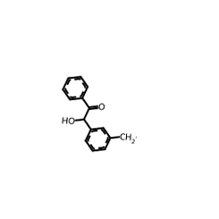 [CH2]c1cccc(C(O)C(=O)c2ccccc2)c1